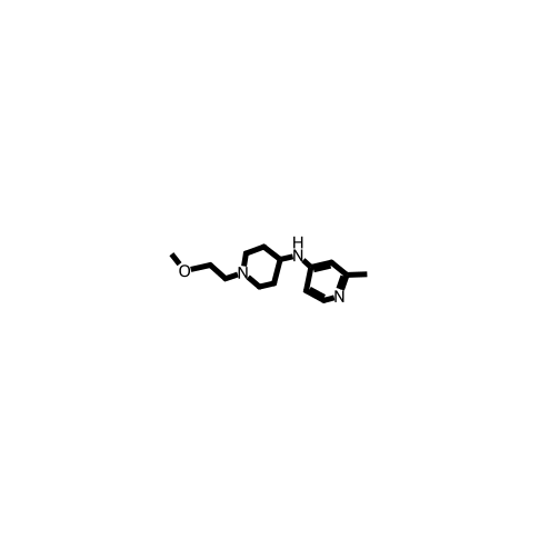 COCCN1CCC(Nc2ccnc(C)c2)CC1